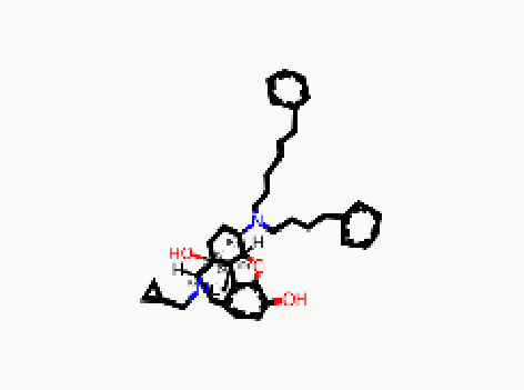 Oc1ccc2c3c1O[C@H]1[C@H](N(CCCCCCc4ccccc4)CCCCc4ccccc4)CC[C@@]4(O)[C@@H](C2)N(CC2CC2)CC[C@]314